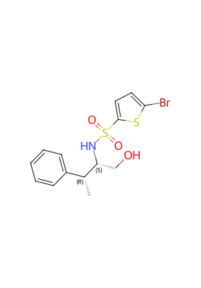 C[C@H](c1ccccc1)[C@@H](CO)NS(=O)(=O)c1ccc(Br)s1